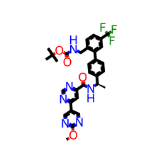 COc1ncc(-c2cc(C(=O)N[C@H](C)c3ccc(-c4cc(C(F)(F)F)ccc4CNC(=O)OC(C)(C)C)cc3)ncn2)cn1